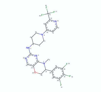 CN1c2nc(NC3CCN(c4ccnc(C(F)(F)F)c4)CC3)ncc2OCC1c1cc(F)c(F)c(F)c1